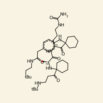 C[C@H](NC1(C(=O)CCNC(C)(C)C)CCCCC1)C(=O)N[C@@H](CCCNC(N)=O)C(=O)C1(Nc2ccc(CC(=O)NCCC(C)(C)C)cc2)CCCCC1